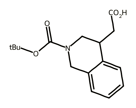 CC(C)(C)OC(=O)N1Cc2ccccc2C(CC(=O)O)C1